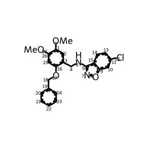 COc1cc(CNc2noc3cc(Cl)ccc23)c(OCc2ccccc2)cc1OC